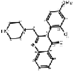 COc1ccc(-n2c(CN3CCNCC3)nc3ccccc3c2=O)c(Cl)c1